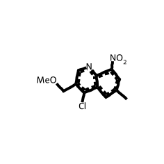 COCc1cnc2c([N+](=O)[O-])cc(C)cc2c1Cl